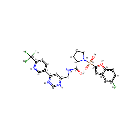 O=C(NCc1cc(-c2ccc(C(F)(F)F)nc2)ncn1)[C@@H]1CCCN1S(=O)(=O)c1cc2cc(F)ccc2o1